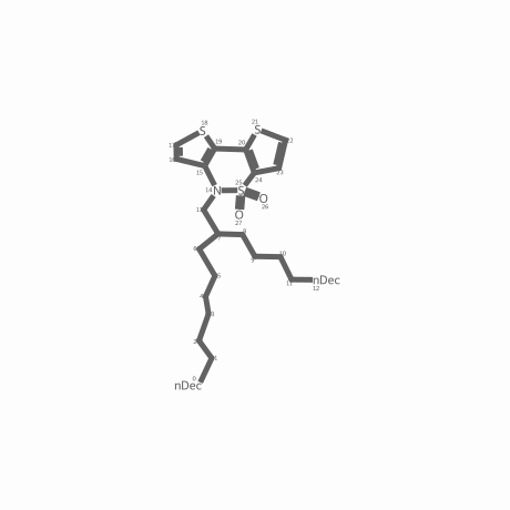 CCCCCCCCCCCCCCCCC(CCCCCCCCCCCCCC)CN1c2ccsc2-c2sccc2S1(=O)=O